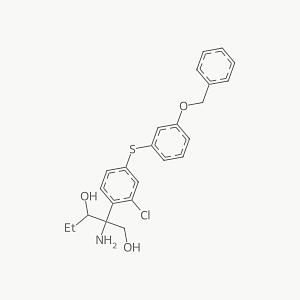 CCC(O)C(N)(CO)c1ccc(Sc2cccc(OCc3ccccc3)c2)cc1Cl